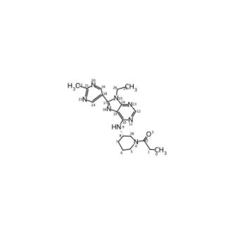 CCC(=O)N1CCC[C@H](Nc2ncnc3c2nc(-c2cnc(C)nc2)n3CC)C1